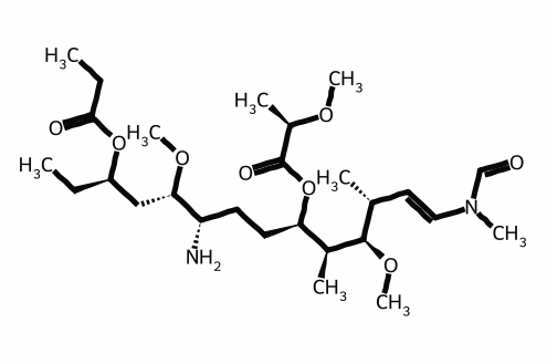 CCC(=O)O[C@H](CC)C[C@H](OC)[C@@H](N)CC[C@@H](OC(=O)[C@@H](C)OC)[C@H](C)[C@H](OC)[C@H](C)/C=C/N(C)C=O